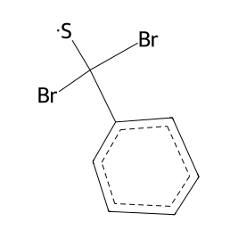 [S]C(Br)(Br)c1ccccc1